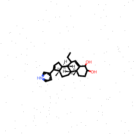 CCC1C=C2C(O)C(O)CC[C@]2(C)[C@@H]2CC[C@]3(C)C(c4cc[nH]c4)=CC[C@H]3[C@H]12